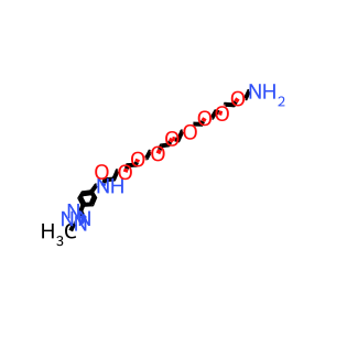 Cc1nnc(-c2ccc(CNC(=O)CCOCCOCCOCCOCCOCCOCCOCCOCCN)cc2)nn1